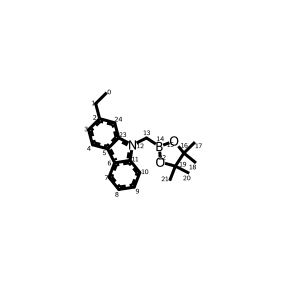 CCc1ccc2c3ccccc3n(CB3OC(C)(C)C(C)(C)O3)c2c1